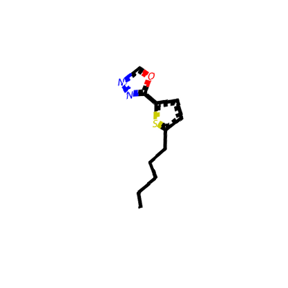 CCCCCc1ccc(-c2nnco2)s1